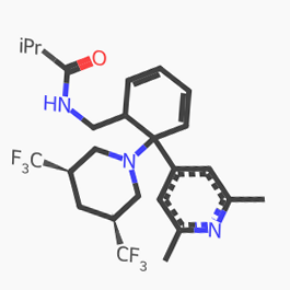 Cc1cc(C2(N3C[C@H](C(F)(F)F)C[C@H](C(F)(F)F)C3)C=CC=CC2CNC(=O)C(C)C)cc(C)n1